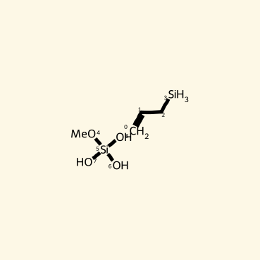 C=CC[SiH3].CO[Si](O)(O)O